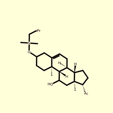 CC(=O)[C@H]1CC[C@H]2[C@@H]3CC=C4CC(O[Si](C)(C)CC(C)C)CC[C@]4(C)[C@H]3C(O)C[C@]12C